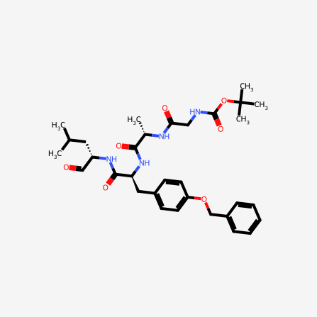 CC(C)C[C@@H](C=O)NC(=O)[C@H](Cc1ccc(OCc2ccccc2)cc1)NC(=O)[C@H](C)NC(=O)CNC(=O)OC(C)(C)C